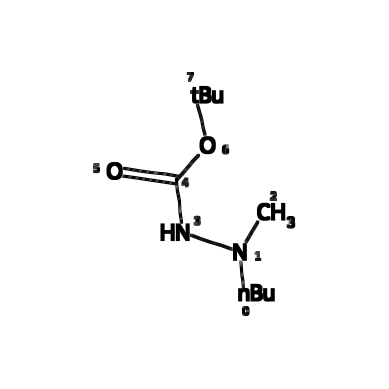 CCCCN(C)NC(=O)OC(C)(C)C